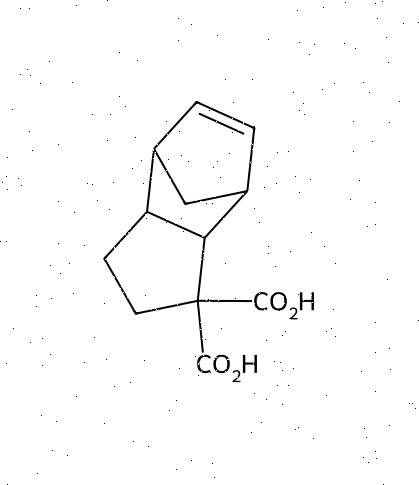 O=C(O)C1(C(=O)O)CCC2C3C=CC(C3)C21